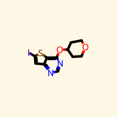 Ic1cc2ncnc(OC3CCOCC3)c2s1